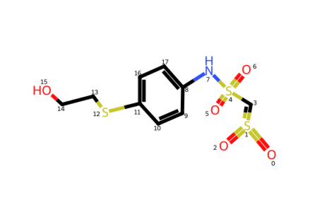 O=S(=O)=CS(=O)(=O)Nc1ccc(SCCO)cc1